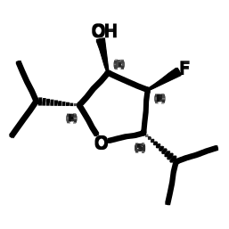 CC(C)[C@H]1O[C@@H](C(C)C)[C@H](F)[C@@H]1O